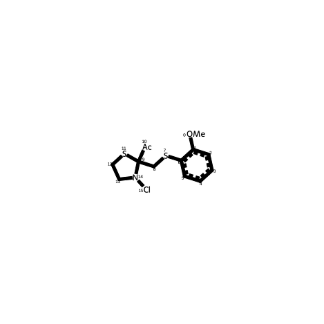 COc1ccccc1SCC1(C(C)=O)SCCN1Cl